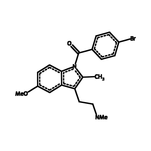 CNCCc1c(C)n(C(=O)c2ccc(Br)cc2)c2ccc(OC)cc12